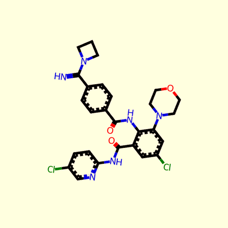 N=C(c1ccc(C(=O)Nc2c(C(=O)Nc3ccc(Cl)cn3)cc(Cl)cc2N2CCOCC2)cc1)N1CCC1